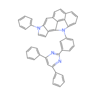 c1ccc(-c2cc(-c3ccccc3)nc(-c3cccc(-n4c5cccc6ccc7cc8c(ccn8-c8ccccc8)c4c7c65)c3)n2)cc1